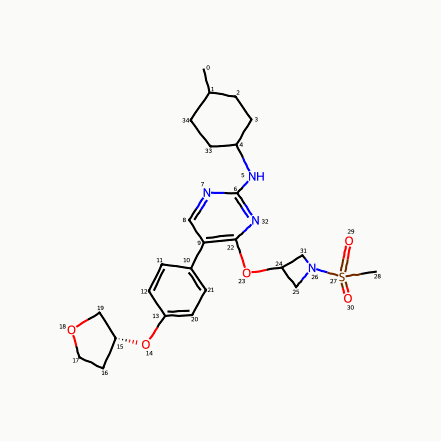 CC1CCC(Nc2ncc(-c3ccc(O[C@@H]4CCOC4)cc3)c(OC3CN(S(C)(=O)=O)C3)n2)CC1